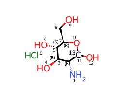 Cl.N[C@@H]1[C@@H](O)[C@H](O)[C@@H](CO)O[13CH]1O